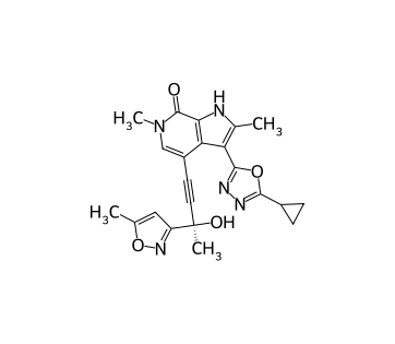 Cc1cc([C@](C)(O)C#Cc2cn(C)c(=O)c3[nH]c(C)c(-c4nnc(C5CC5)o4)c23)no1